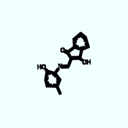 Cc1ccc(O)c(/N=C/C2=C(O)c3ccccc3C2=O)c1